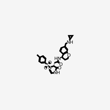 Cc1ccc(S(=O)(=O)N2C=CNC(=O)[C@H]2CC(=O)N[C@@H]2CCOc3cc(CNC4CC4)ccc32)cc1